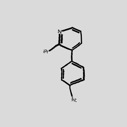 CC(=O)c1ccc(-c2cccnc2C(C)C)cc1